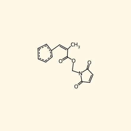 CC(=Cc1ccccc1)C(=O)OCN1C(=O)C=CC1=O